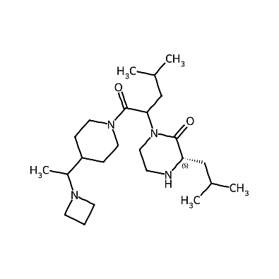 CC(C)CC(C(=O)N1CCC(C(C)N2CCC2)CC1)N1CCN[C@@H](CC(C)C)C1=O